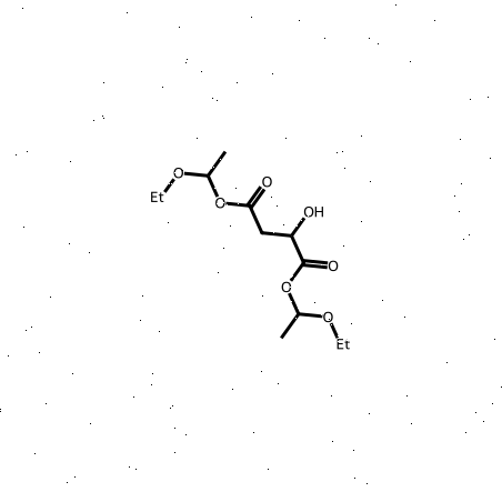 CCOC(C)OC(=O)CC(O)C(=O)OC(C)OCC